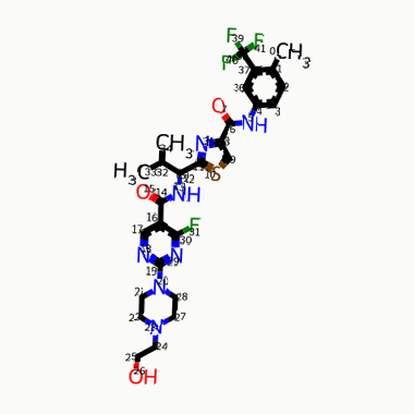 Cc1ccc(NC(=O)c2csc([C@@H](NC(=O)c3cnc(N4CCN(CCO)CC4)nc3F)C(C)C)n2)cc1C(F)(F)F